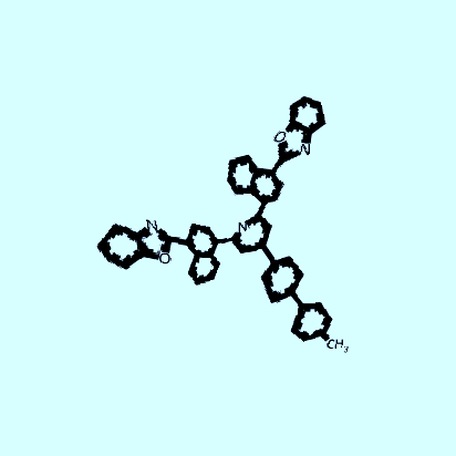 Cc1ccc(-c2ccc(-c3cc(-c4ccc(-c5nc6ccccc6o5)c5ccccc45)nc(-c4ccc(-c5nc6ccccc6o5)c5ccccc45)c3)cc2)cc1